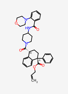 C=CCOC(=O)[C@]1(c2ccccc2)CC[C@@H](C(=O)N2CCC(NC(=O)c3ccccc3N3CCOCC3)CC2)c2ccccc21